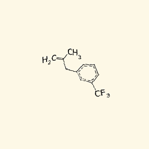 C=C(C)Cc1cccc(C(F)(F)F)c1